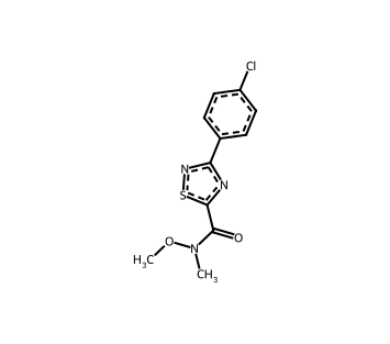 CON(C)C(=O)c1nc(-c2ccc(Cl)cc2)ns1